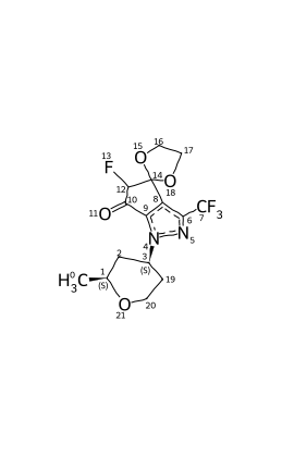 C[C@H]1C[C@@H](n2nc(C(F)(F)F)c3c2C(=O)C(F)C32OCCO2)CCO1